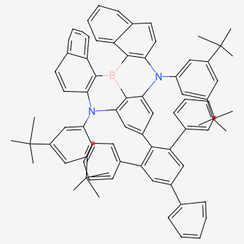 CC(C)(C)c1cc(N2c3cc(-c4c(-c5ccccc5)cc(-c5ccccc5)cc4-c4ccccc4)cc4c3B(c3c2ccc2ccccc32)c2c(ccc3ccccc23)N4c2cc(C(C)(C)C)cc(C(C)(C)C)c2)cc(C(C)(C)C)c1